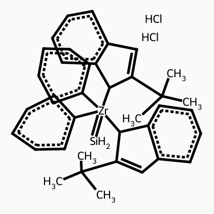 CC(C)(C)C1=Cc2ccccc2[CH]1[Zr](=[SiH2])([c]1ccccc1)([c]1ccccc1)[CH]1C(C(C)(C)C)=Cc2ccccc21.Cl.Cl